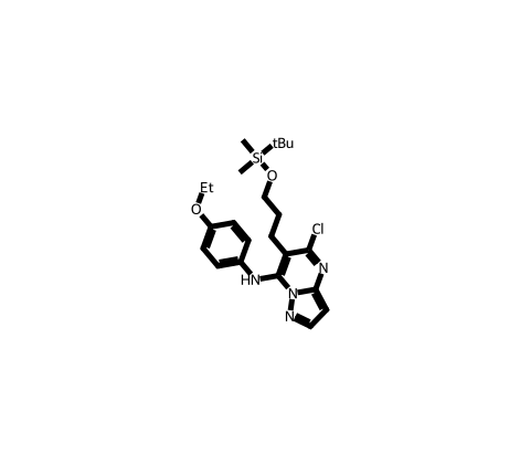 CCOc1ccc(Nc2c(CCCO[Si](C)(C)C(C)(C)C)c(Cl)nc3ccnn23)cc1